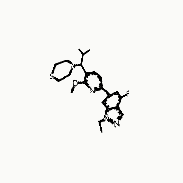 CCn1ncc2c(F)cc(-c3ccc(C(C(C)C)N4CCSCC4)c(OC)n3)cc21